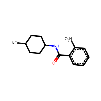 N#C[C@H]1CC[C@@H](NC(=O)c2ccccc2[N+](=O)[O-])CC1